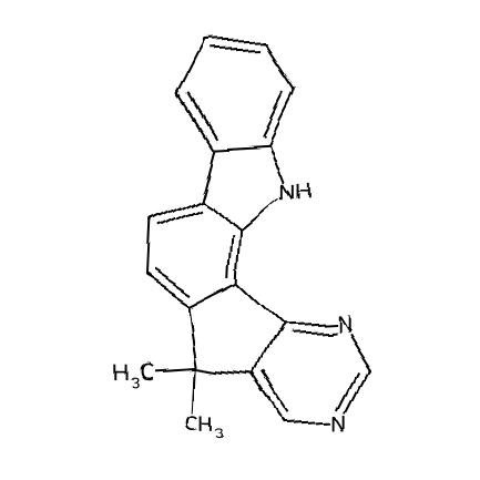 CC1(C)c2cncnc2-c2c1ccc1c2[nH]c2ccccc21